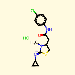 CN1/C(=N/C2CC2)SCC1CC(=O)Nc1ccc(Cl)cc1.Cl